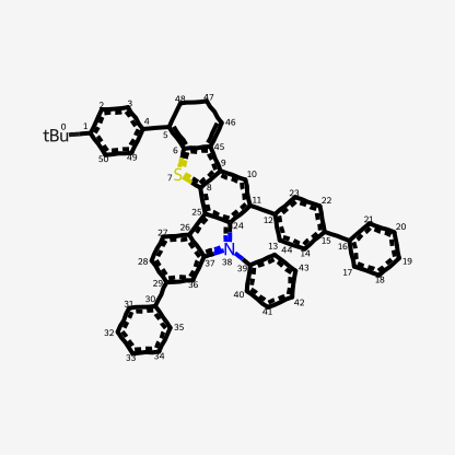 CC(C)(C)c1ccc(C2=c3sc4c(cc(-c5ccc(-c6ccccc6)cc5)c5c4c4ccc(-c6ccccc6)cc4n5-c4ccccc4)c3=CCC2)cc1